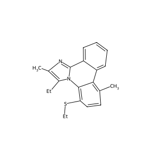 CCSc1ccc(C)c2c3ccccc3c3nc(C)c(CC)n3c12